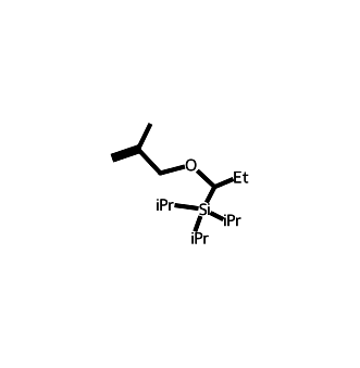 C=C(C)COC(CC)[Si](C(C)C)(C(C)C)C(C)C